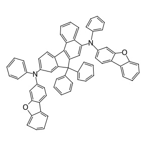 c1ccc(N(c2ccc3c(c2)C(c2ccccc2)(c2ccccc2)c2cc(N(c4ccccc4)c4ccc5c(c4)oc4ccccc45)c4ccccc4c2-3)c2ccc3c(c2)oc2ccccc23)cc1